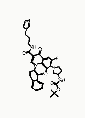 CC(C)(C)OC(=O)N[C@@H]1CCN(c2c(F)cc3c(=O)c(C(=O)NCCCn4ccnc4)cn4c3c2Oc2c-4ccc3ccccc23)C1